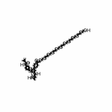 Cc1cc(Nc2cc(N3CCN(C(=O)COCCOCCOCCOCCOCCOCCOCCOCCOCCOCCOCCO)CC3)nc(Sc3ccc(NC(=O)C4CC4)cc3)n2)n[nH]1